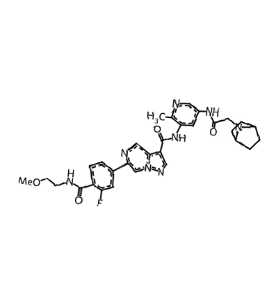 COCCNC(=O)c1ccc(-c2cn3ncc(C(=O)Nc4cc(NC(=O)CN5C6CCC5CC6)cnc4C)c3cn2)cc1F